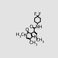 Cc1cn(C)c(=O)c2c(C(=O)NC3CCC(F)(F)CC3)cn(C)c12